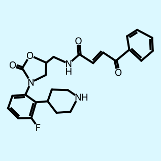 O=C(C=CC(=O)c1ccccc1)NCC1CN(c2cccc(F)c2C2CCNCC2)C(=O)O1